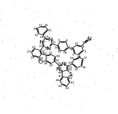 N#Cc1cccc(-c2ccc(-c3nc(-c4ccccc4)nc(-c4cccc5oc6cc(-c7nc(-c8ccccc8)c8sc9ccccc9c8n7)ccc6c45)n3)cc2)c1